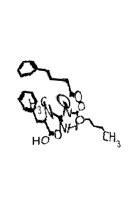 CCCCOC(=O)N(OC(=O)CCCc1ccccc1)C(=N)N(C)C(Cc1ccccc1)C(=O)O